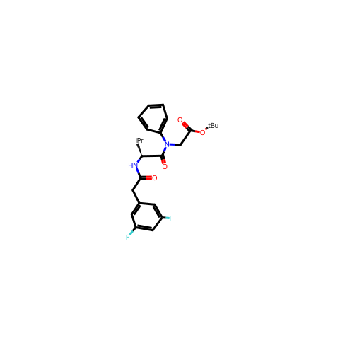 CC(C)[C@H](NC(=O)Cc1cc(F)cc(F)c1)C(=O)N(CC(=O)OC(C)(C)C)c1ccccc1